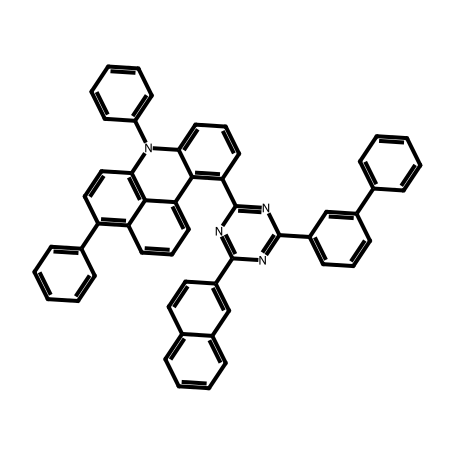 c1ccc(-c2cccc(-c3nc(-c4ccc5ccccc5c4)nc(-c4cccc5c4-c4cccc6c(-c7ccccc7)ccc(c46)N5c4ccccc4)n3)c2)cc1